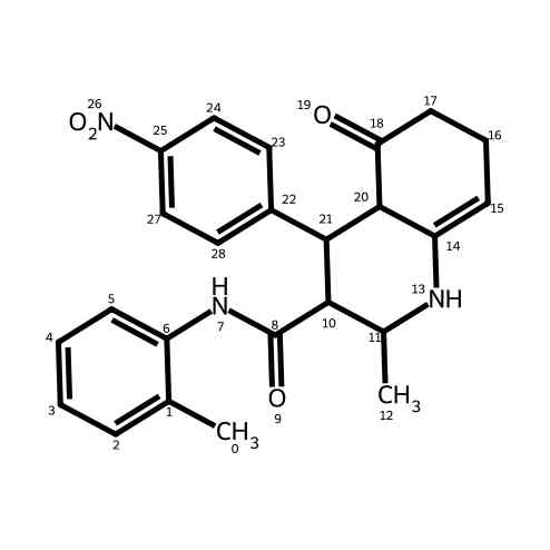 Cc1ccccc1NC(=O)C1C(C)NC2=CCCC(=O)C2C1c1ccc([N+](=O)[O-])cc1